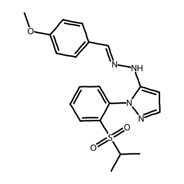 COc1ccc(/C=N/Nc2ccnn2-c2ccccc2S(=O)(=O)C(C)C)cc1